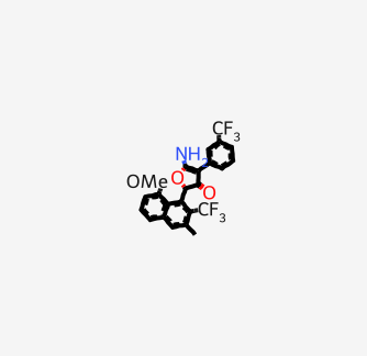 COc1cccc2cc(C)c(C(F)(F)F)c(C3OC(N)=C(c4cccc(C(F)(F)F)c4)C3=O)c12